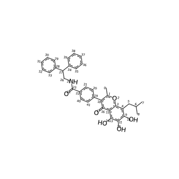 Cc1oc2c(CC(C)C)c(O)c(O)c(O)c2c(=O)c1-c1ccc(C(=O)NCC(c2ccccc2)c2ccccc2)cc1